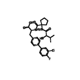 CC(C)C(S)C(=O)NC1(C(=O)NC(Cc2ccc(-c3ccc(F)c(Cl)c3)cc2)C(=O)O)CCCC1